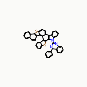 c1ccc(-c2nc(-n3c4ccccc4c4c5ccc6sc7c8ccccc8ccc7c6c5c5c6ccccc6sc5c43)nc3ccccc23)cc1